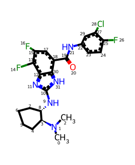 CN(C)[C@H]1CCCC[C@@H]1Nc1nc2c(F)c(F)cc(C(=O)Nc3ccc(F)c(Cl)c3)c2[nH]1